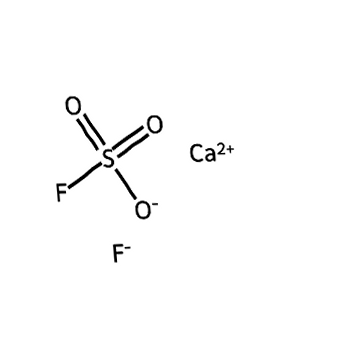 O=S(=O)([O-])F.[Ca+2].[F-]